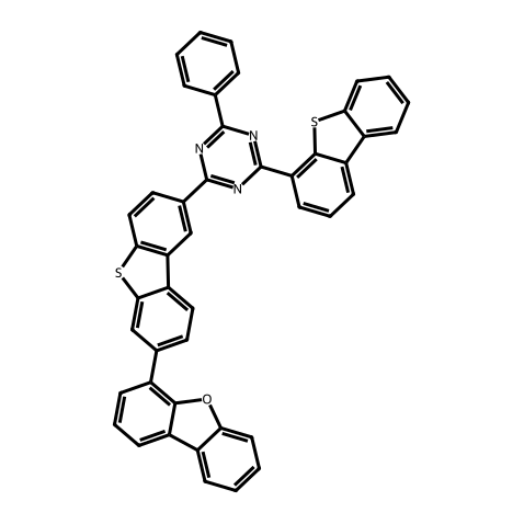 c1ccc(-c2nc(-c3ccc4sc5cc(-c6cccc7c6oc6ccccc67)ccc5c4c3)nc(-c3cccc4c3sc3ccccc34)n2)cc1